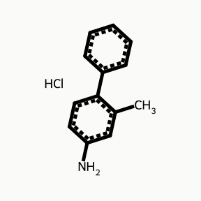 Cc1cc(N)ccc1-c1ccccc1.Cl